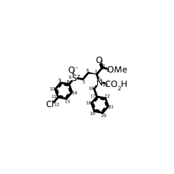 COC(=O)[C@H](CC[S+]([O-])c1ccc(Cl)cc1)N(Cc1ccccc1)C(=O)O